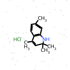 CC1=CC(C)(C)Nc2cc(C)ccc21.Cl